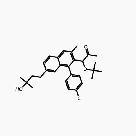 CC(=O)C(OC(C)(C)C)c1c(C)cc2ccc(CCC(C)(C)O)cc2c1-c1ccc(Cl)cc1